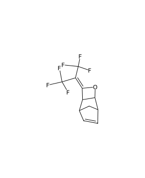 FC(F)(F)C(=C1OC2C3C=CC(C3)C12)C(F)(F)F